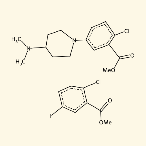 COC(=O)c1cc(I)ccc1Cl.COC(=O)c1cc(N2CCC(N(C)C)CC2)ccc1Cl